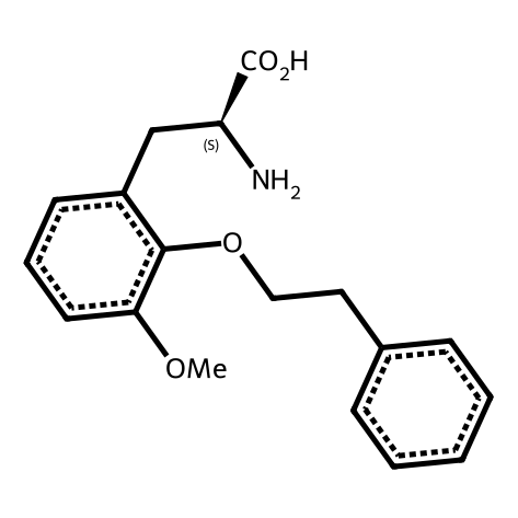 COc1cccc(C[C@H](N)C(=O)O)c1OCCc1ccccc1